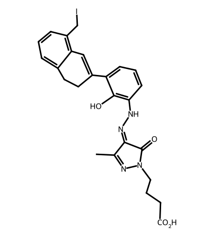 CC1=NN(CCCC(=O)O)C(=O)/C1=N\Nc1cccc(C2=Cc3c(CI)cccc3CC2)c1O